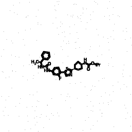 CC(C)OC(=O)N[C@H]1CC[C@H](c2ncc(-c3ccc(NC(=O)N[C@@H](C)c4ccccc4)cc3F)s2)CC1